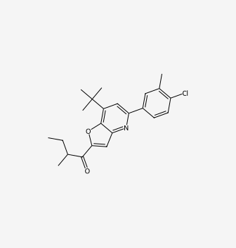 CCC(C)C(=O)c1cc2nc(-c3ccc(Cl)c(C)c3)cc(C(C)(C)C)c2o1